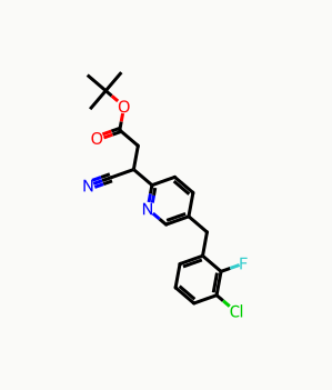 CC(C)(C)OC(=O)CC(C#N)c1ccc(Cc2cccc(Cl)c2F)cn1